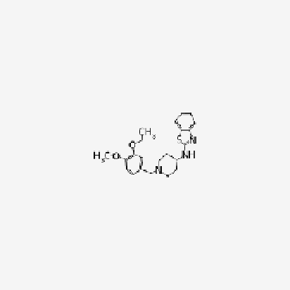 CCOc1cc(CN2CCC(Nc3nc4ccccc4s3)CC2)ccc1OC